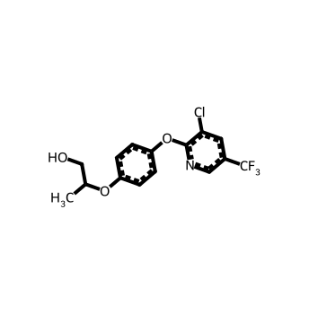 CC(CO)Oc1ccc(Oc2ncc(C(F)(F)F)cc2Cl)cc1